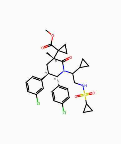 COC(=O)C1([C@@]2(C)C[C@H](c3cccc(Cl)c3)[C@@H](c3ccc(Cl)cc3)N(C(CNS(=O)(=O)C3CC3)C3CC3)C2=O)CC1